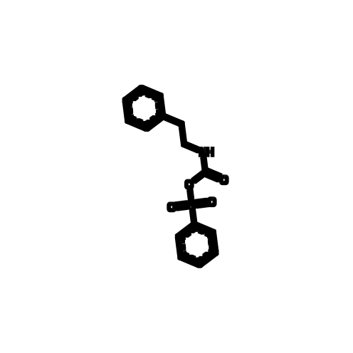 O=C(NCCc1ccccc1)OS(=O)(=O)c1ccccc1